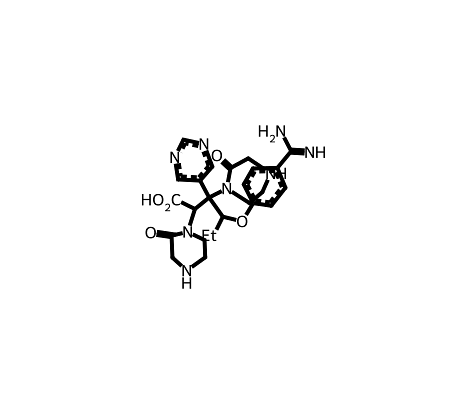 CCC(Oc1ccc(C(=N)N)cc1)C(c1cncnc1)(C(C(=O)O)N1CCNCC1=O)N1CCNCC1=O